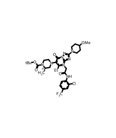 CCc1c(N2CCN(C(=O)OC(C)(C)C)[C@H](C)C2)c(=O)n2nc(N3CCC(OC)CC3)nc2n1CC(=O)Nc1ccc(C(F)(F)F)cc1Cl